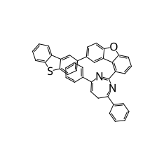 C1=C(c2ccccc2)N=C(c2cccc3oc4ccc(-c5ccc6sc7ccccc7c6c5)cc4c23)N=C(c2ccccc2)C1